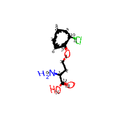 NC(CCOc1cc[c]cc1Cl)C(=O)O